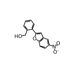 O=[N+]([O-])c1ccc2oc(-c3ccccc3CO)cc2c1